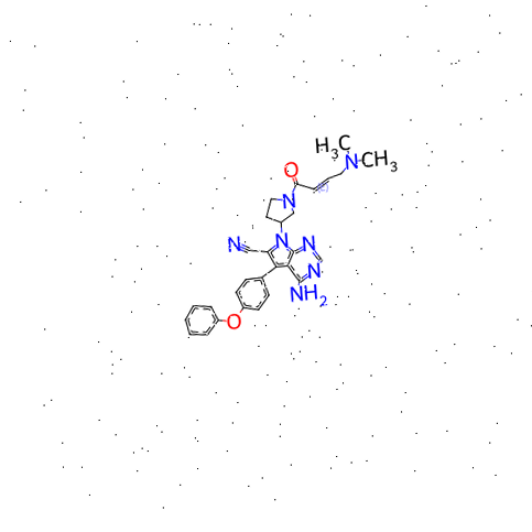 CN(C)C/C=C/C(=O)N1CCC(n2c(C#N)c(-c3ccc(Oc4ccccc4)cc3)c3c(N)ncnc32)C1